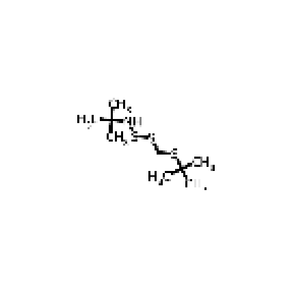 CC(C)(C)NSSCSC(C)(C)C